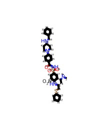 CN(C)CC[C@H](CSc1ccccc1)Nc1ccc(S(=O)(=O)NC(=O)c2ccc(N3CCC(NCc4ccccc4)CC3)cc2)cc1[N+](=O)[O-]